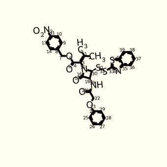 CC(C)=C(C(=O)OCc1ccc([N+](=O)[O-])cc1)N1C(=O)[C@H](NC(=O)COc2ccccc2)[C@@H]1SSc1nc2ccccc2s1